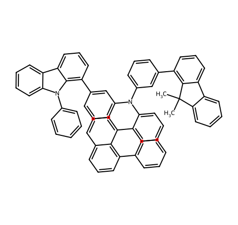 CC1(C)c2ccccc2-c2cccc(-c3cccc(N(c4cccc(-c5cccc6c7ccccc7n(-c7ccccc7)c56)c4)c4ccccc4-c4cccc5cccc(-c6ccccc6)c45)c3)c21